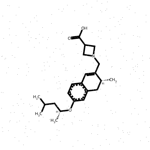 CC(C)C[C@@H](C)Oc1ccc2c(c1)C[C@@H](C)C(CN1CC(C(=O)O)C1)=C2